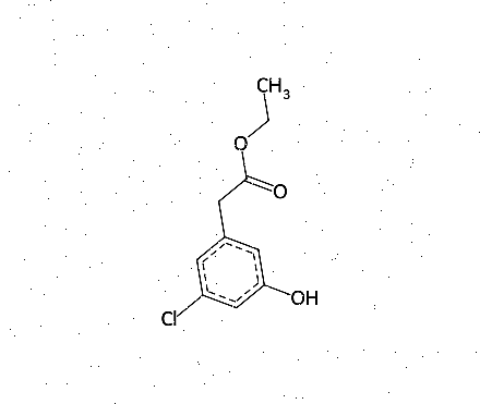 CCOC(=O)Cc1cc(O)cc(Cl)c1